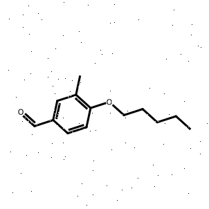 CCCCCOc1ccc(C=O)cc1C